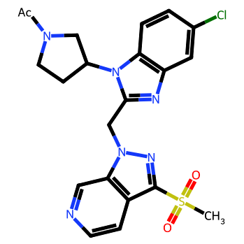 CC(=O)N1CCC(n2c(Cn3nc(S(C)(=O)=O)c4ccncc43)nc3cc(Cl)ccc32)C1